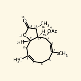 CC(=O)O[C@@H]1C=C(C)CCC=C(C)C[C@@H]2OC(=O)[C@H](C)[C@H]21